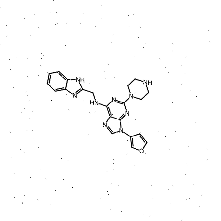 c1ccc2[nH]c(CNc3nc(N4CCNCC4)nc4c3ncn4-c3ccoc3)nc2c1